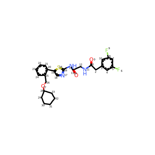 O=C(Cc1cc(F)cc(F)c1)NCC(=O)Nc1ncc(-c2ccccc2COC2CCCCC2)s1